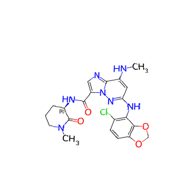 CNc1cc(Nc2c(Cl)ccc3c2OCO3)nn2c(C(=O)N[C@@H]3CCCN(C)C3=O)cnc12